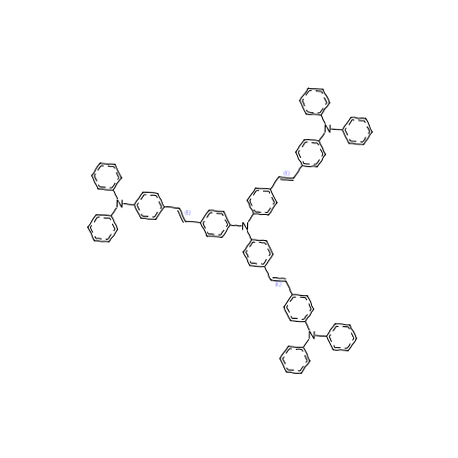 C(=C\c1ccc(N(c2ccc(/C=C/c3ccc(N(c4ccccc4)c4ccccc4)cc3)cc2)c2ccc(/C=C/c3ccc(N(c4ccccc4)c4ccccc4)cc3)cc2)cc1)/c1ccc(N(c2ccccc2)c2ccccc2)cc1